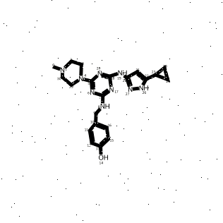 CN1CCN(c2nc(NCc3ccc(O)cc3)nc(Nc3cc(C4CC4)[nH]n3)n2)CC1